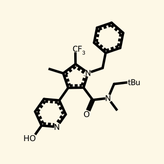 Cc1c(-c2ccc(O)nc2)c(C(=O)N(C)CC(C)(C)C)n(Cc2ccccc2)c1C(F)(F)F